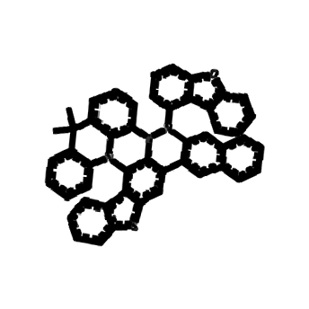 CC1(C)c2ccccc2N2c3c(cccc31)B1c3c(cc4sc5ccccc5c4c32)-c2cc3ccccc3cc2N1c1cccc2oc3ccccc3c12